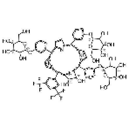 OCC1O[C@@H](Oc2cccc(-c3c4nc(c(-c5cccc(O[C@@H]6OC(CO)[C@H](O)[C@H](O)C6O)c5)c5ccc([nH]5)c(-c5cc(C(F)(F)F)cc(C(F)(F)F)c5)c5nc(c(-c6cccc(O[C@@H]7OC(CO)[C@H](O)[C@H](O)C7O)c6)c6ccc3[nH]6)[C@@H](O)[C@H]5O)C=C4)c2)C(O)[C@@H](O)[C@H]1O